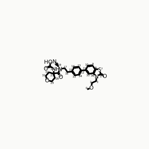 COCCn1c(=O)sc2ccc(-c3ccc(CCN(C#N)C(=O)C4(NC(=O)O)CCOCC4)cc3)cc21